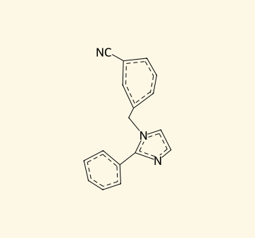 N#Cc1cccc(Cn2ccnc2-c2ccccc2)c1